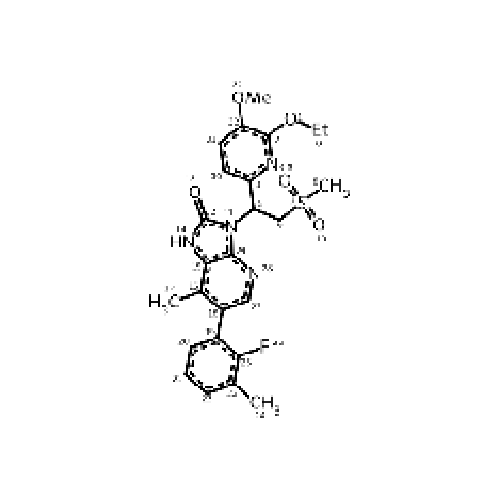 CCOc1nc(C(CS(C)(=O)=O)n2c(=O)[nH]c3c(C)c(-c4cccc(C)c4F)cnc32)ccc1OC